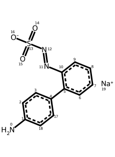 Nc1ccc(-c2ccccc2N=NS(=O)(=O)[O-])cc1.[Na+]